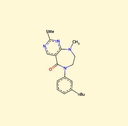 CCCCc1cccc(N2CCN(C)c3nc(SC)ncc3C2=O)c1